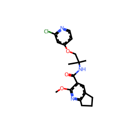 COc1nc2c(cc1C(=O)NC(C)(C)COc1ccnc(Cl)c1)CCC2